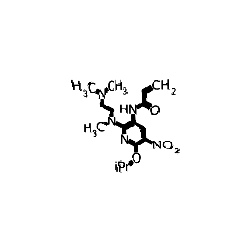 C=CC(=O)Nc1cc([N+](=O)[O-])c(OC(C)C)nc1N(C)CCN(C)C